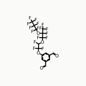 O=[C]c1cc([C]=O)cc(OC(F)(F)C(F)OC(F)(F)C(F)(OC(F)(F)C(F)(F)C(F)(F)F)C(F)(F)F)c1